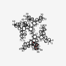 CC(C)(C)OC(=O)Oc1ccc(-c2cc(C(C)(C)c3cc(-c4ccc(OC(=O)OC(C)(C)C)c(OC(=O)OC(C)(C)C)c4)c(OC(=O)OC(C)(C)C)c(-c4ccc(OC(=O)OC(C)(C)C)c(OC(=O)OC(C)(C)C)c4)c3)cc(-c3ccc(OC(=O)OC(C)(C)C)c(OC(=O)OC(C)(C)C)c3)c2OC(=O)OC(C)(C)C)cc1OC(=O)OC(C)(C)C